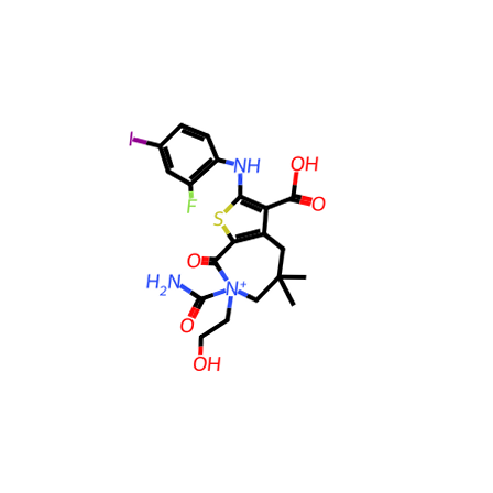 CC1(C)Cc2c(sc(Nc3ccc(I)cc3F)c2C(=O)O)C(=O)[N+](CCO)(C(N)=O)C1